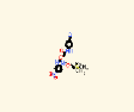 CS(C)(C)CCOCn1c(OCC(=O)Nc2ccc(C#N)cc2)nc2cc([N+](=O)[O-])ccc21